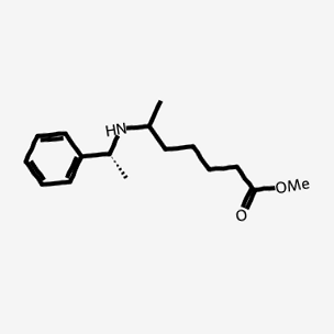 COC(=O)CCCCC(C)N[C@H](C)c1ccccc1